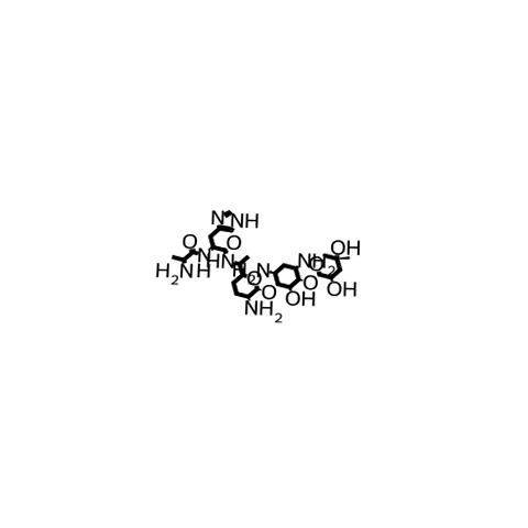 CC(N)C(=O)NC(Cc1c[nH]cn1)C(=O)NC(C)C1CC[C@@H](N)[C@@H](O[C@H]2[C@H](O)[C@@H](O[C@H]3OC[C@](C)(O)C[C@H]3O)[C@H](N)C[C@@H]2N)O1